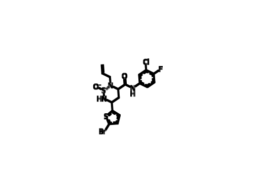 C=CCN1C(C(=O)Nc2ccc(F)c(Cl)c2)CC(c2ccc(Br)s2)N[S+]1[O-]